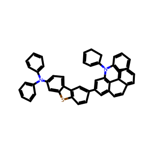 C1=CCCC(N(c2ccccc2)c2cc(-c3ccc4sc5cc(N(c6ccccc6)c6ccccc6)ccc5c4c3)cc3ccc4ccccc4c23)=C1